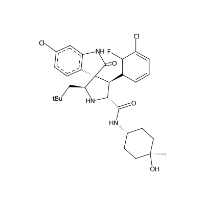 CC(C)(C)C[C@@H]1N[C@@H](C(=O)N[C@H]2CC[C@](C)(O)CC2)[C@H](C2C=CC=C(Cl)C2F)[C@]12C(=O)Nc1cc(Cl)ccc12